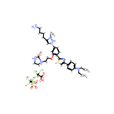 CCN(CC)c1ccc(-c2csc(-c3ccc(-n4cc(CCCCN)[n+](C)n4)cc3OCCN3CCNC3=O)n2)cc1.O=C(O)C(F)(F)F.O=S(=O)([O-])C(F)(F)F